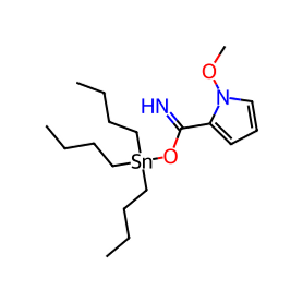 CCC[CH2][Sn]([CH2]CCC)([CH2]CCC)[O]C(=N)c1cccn1OC